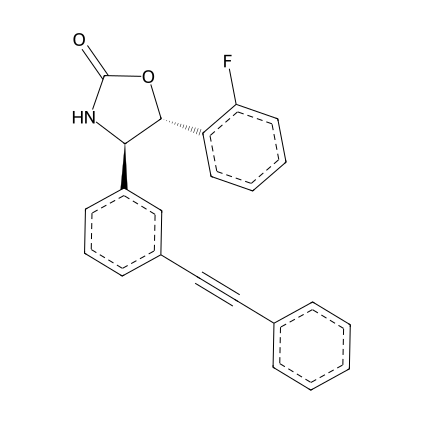 O=C1N[C@H](c2cccc(C#Cc3ccccc3)c2)[C@@H](c2ccccc2F)O1